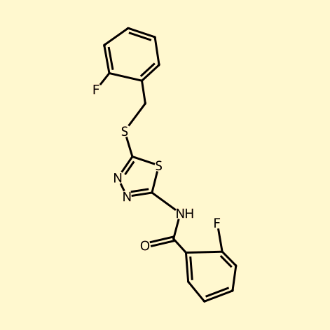 O=C(Nc1nnc(SCc2ccccc2F)s1)c1ccccc1F